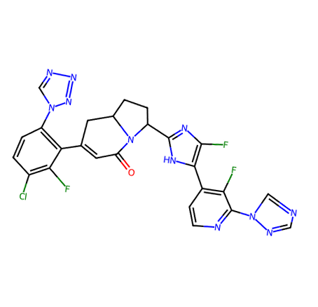 O=C1C=C(c2c(-n3cnnn3)ccc(Cl)c2F)CC2CCC(c3nc(F)c(-c4ccnc(-n5cncn5)c4F)[nH]3)N12